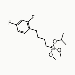 CO[Si](CCCCc1ccc(F)cc1F)(OC)OC(C)C